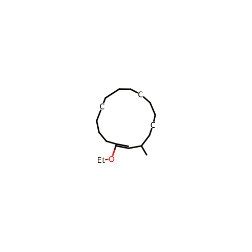 CCOC1=CC(C)CCCCCCCCCCCC1